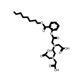 CCCCCCCCOC(=O)c1ccccc1OC(=O)CN(CCN(CC(=O)O)CC(=O)O)CC(=O)O